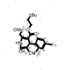 COCC1=C(C(=O)OCCC(C)(C)C)C(c2ccc(F)cc2C(F)(F)F)C(C#N)=C(C)N1